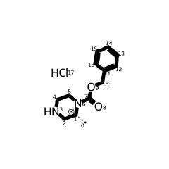 C[C@@H]1CNCCN1C(=O)OCc1ccccc1.Cl